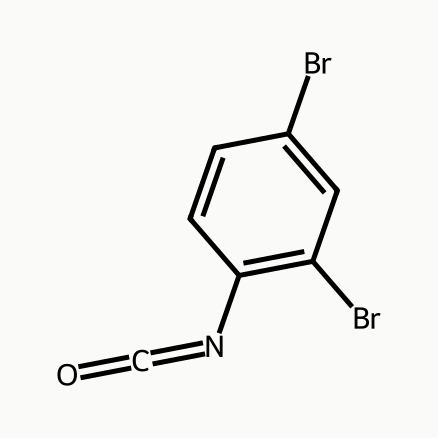 O=C=Nc1ccc(Br)cc1Br